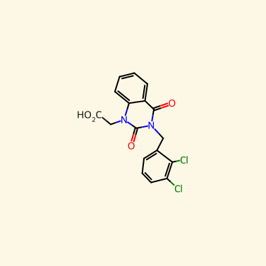 O=C(O)Cn1c(=O)n(Cc2cccc(Cl)c2Cl)c(=O)c2ccccc21